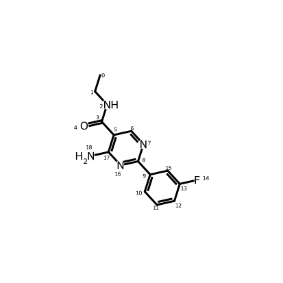 CCNC(=O)c1cnc(-c2cccc(F)c2)nc1N